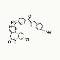 COc1ccc(CNC(=O)c2ccc(Nc3ncc4c(n3)-c3ccc(Cl)cc3NC(=O)C4)cc2)cc1